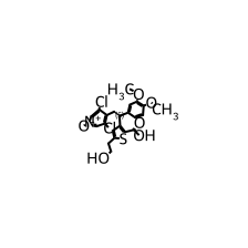 COc1ccc([C@H](Cc2c(Cl)c[n+]([O-])cc2Cl)c2cc(CCO)sc2C(=O)O)cc1OC